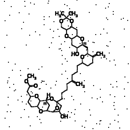 C=C(CCCCC12CC(O)C(O1)C1C[C@@H](O2)C2OC(CC(=O)OC)CCC2O1)CCCC1CCC(=C)C(C[C@@H]2OC3CC4OC(C)(C)OCC4OC3CC2O)O1